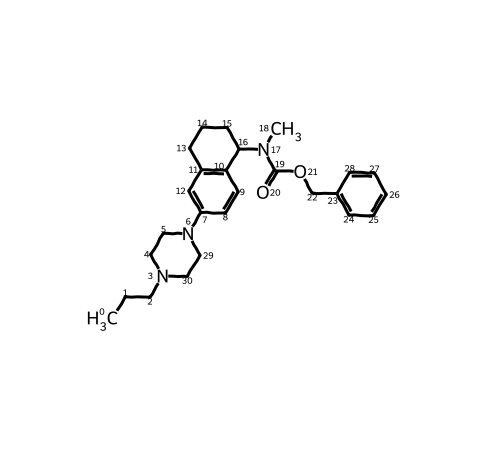 CCCN1CCN(c2ccc3c(c2)CCCC3N(C)C(=O)OCc2ccccc2)CC1